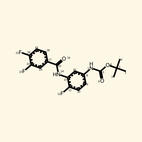 CC(C)(C)OC(=O)Nc1ccc(F)c(NC(=O)c2ccc(F)c(F)c2)c1